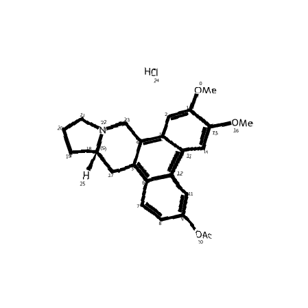 COc1cc2c3c(c4ccc(OC(C)=O)cc4c2cc1OC)C[C@@H]1CCCN1C3.Cl